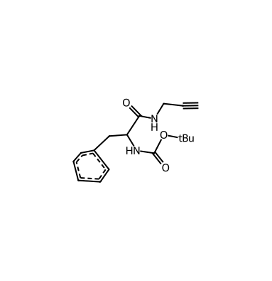 C#CCNC(=O)C(Cc1ccccc1)NC(=O)OC(C)(C)C